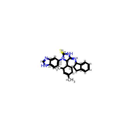 CC1=CC(C)C(C2/C(=N\C3CCc4ccccc43)NC(=S)N2c2ccc3[nH]cnc3c2)CC1